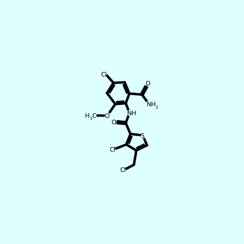 COc1cc(Cl)cc(C(N)=O)c1NC(=O)c1scc(CCl)c1Cl